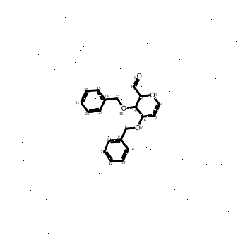 O=CC1OC=CC(OCc2ccccc2)C1OCc1ccccc1